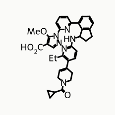 CCc1nc(NC2CCc3cccc(-c4cccc(-n5ncc(C(=O)O)c5OC)n4)c32)ccc1C1=CCN(C(=O)C2CC2)CC1